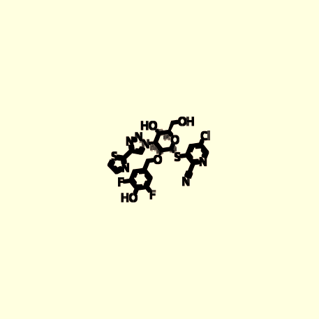 N#Cc1ncc(Cl)cc1S[C@H]1O[C@H](CO)[C@H](O)[C@H](n2cc(-c3nccs3)nn2)[C@H]1OCc1cc(F)c(O)c(F)c1